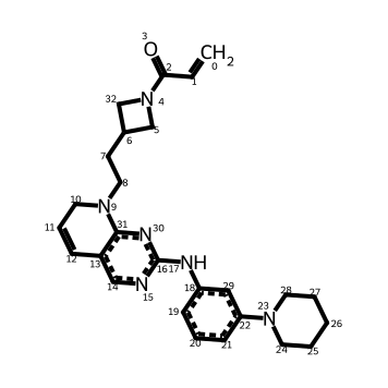 C=CC(=O)N1CC(CCN2CC=Cc3cnc(Nc4cccc(N5CCCCC5)c4)nc32)C1